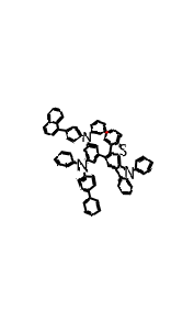 c1ccc(-c2ccc(N(c3ccccc3)c3cc(-c4cc5c6ccccc6n(-c6ccccc6)c5c5sc6ccccc6c45)cc(N(c4ccccc4)c4ccc(-c5cccc6ccccc56)cc4)c3)cc2)cc1